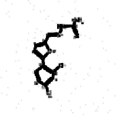 NC(=S)NN=Cc1ccc(-c2ccc(Cl)cc2Cl)o1